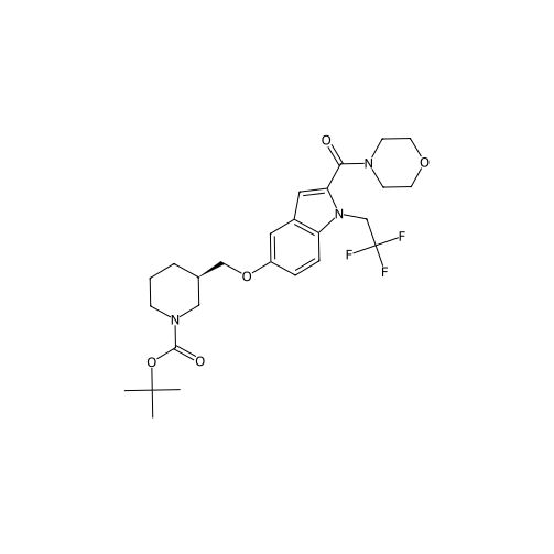 CC(C)(C)OC(=O)N1CCC[C@@H](COc2ccc3c(c2)cc(C(=O)N2CCOCC2)n3CC(F)(F)F)C1